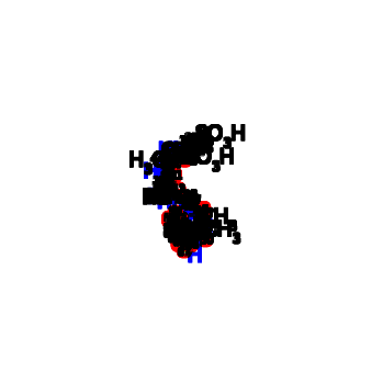 Cc1c(NC(=O)c2cccc(NC(=O)Nc3cccc(C(=O)Nc4cc(C(=O)Nc5ccc6c(S(=O)(=O)O)cccc6c5S(=O)(=O)O)n(C)c4C)c3)c2)cc(C(=O)Nc2ccc3c(S(=O)(=O)[O-])cccc3c2S(=O)(=O)[O-])n1C.[Na+].[Na+]